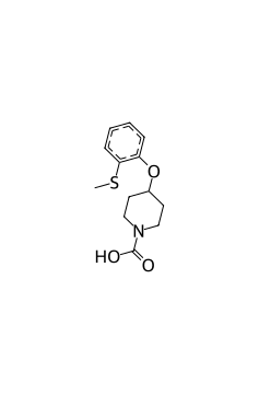 CSc1ccccc1OC1CCN(C(=O)O)CC1